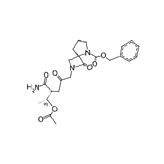 CC(=O)O[C@H](C)C(CC(=O)CN1CC2(CCCN2C(=O)OCc2ccccc2)C1=O)C(N)=O